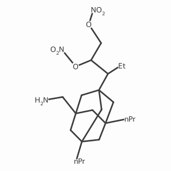 CCCC12CC3(CN)CC(CCC)(C1)CC(C(CC)C(CO[N+](=O)[O-])O[N+](=O)[O-])(C3)C2